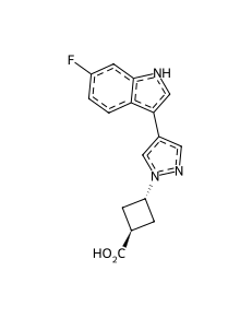 O=C(O)[C@H]1C[C@H](n2cc(-c3c[nH]c4cc(F)ccc34)cn2)C1